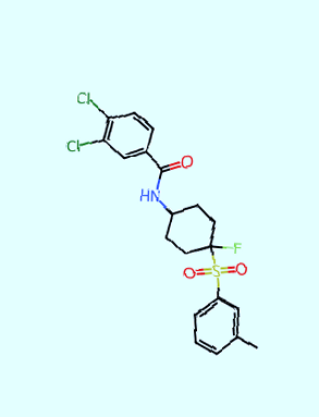 Cc1cccc(S(=O)(=O)C2(F)CCC(NC(=O)c3ccc(Cl)c(Cl)c3)CC2)c1